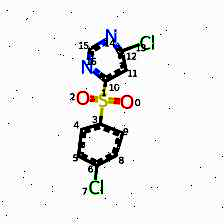 O=S(=O)(c1ccc(Cl)cc1)c1cc(Cl)ncn1